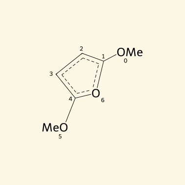 COc1ccc(OC)o1